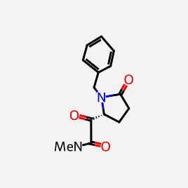 CNC(=O)C(=O)[C@H]1CCC(=O)N1Cc1ccccc1